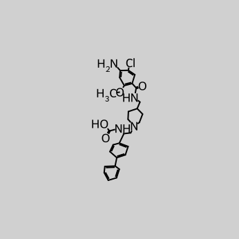 COc1cc(N)c(Cl)cc1C(=O)NCC1CCN(CC(NC(=O)O)c2ccc(-c3ccccc3)cc2)CC1